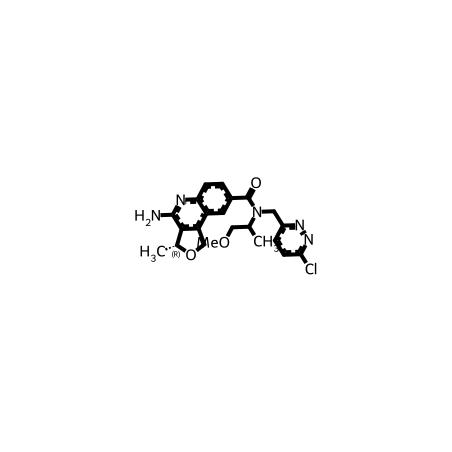 COCC(C)N(Cc1ccc(Cl)nn1)C(=O)c1ccc2nc(N)c3c(c2c1)CO[C@@H]3C